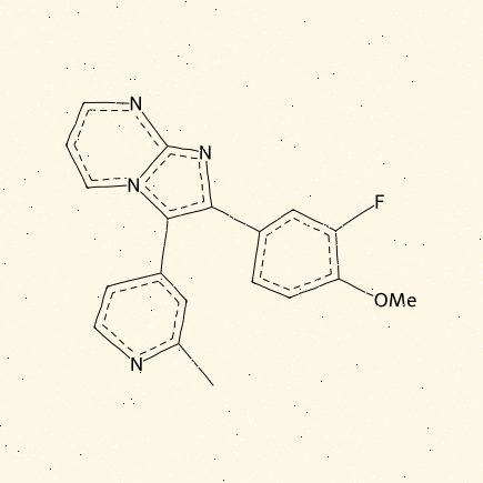 COc1ccc(-c2nc3ncccn3c2-c2ccnc(C)c2)cc1F